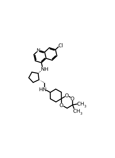 CC1(C)COC2(CCC(NC[C@@H]3CCC[C@@H]3Nc3ccnc4cc(Cl)ccc34)CC2)OO1